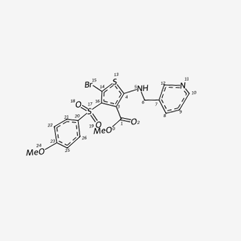 COC(=O)c1c(NCc2cccnc2)sc(Br)c1S(=O)(=O)c1ccc(OC)cc1